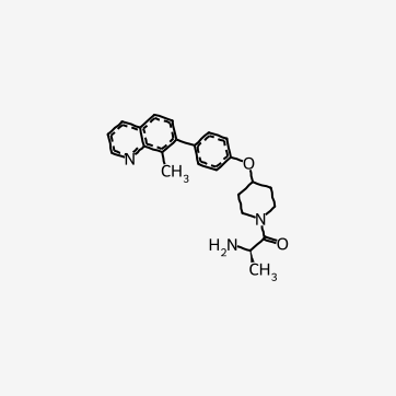 Cc1c(-c2ccc(OC3CCN(C(=O)[C@@H](C)N)CC3)cc2)ccc2cccnc12